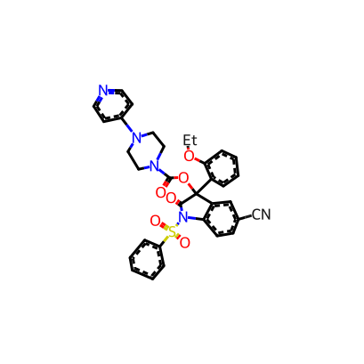 CCOc1ccccc1C1(OC(=O)N2CCN(c3ccncc3)CC2)C(=O)N(S(=O)(=O)c2ccccc2)c2ccc(C#N)cc21